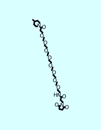 CC1CCN(C(=O)CCOCCOCCOCCOCCOCCOCCOCCOCCNC(=O)CCN2C(=O)CCC2=O)CC1